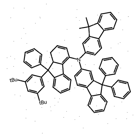 CC(C)(C)c1cc(C(C)(C)C)cc(C2(c3ccccc3)c3ccccc3C3=C(N(c4ccc5c(c4)C(C)(C)c4ccccc4-5)c4ccc5c(c4)C(c4ccccc4)(c4ccccc4)c4ccccc4-5)C=CCC32)c1